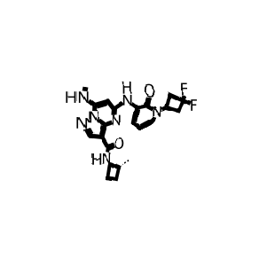 CNc1cc(Nc2cccn(C3CC(F)(F)C3)c2=O)nc2c(C(=O)N[C@H]3CC[C@H]3C)cnn12